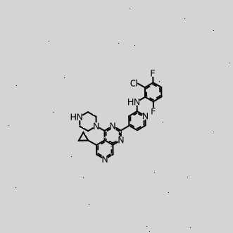 Fc1ccc(F)c(Nc2cc(-c3nc(N4CCNCC4)c4c(C5CC5)cncc4n3)ccn2)c1Cl